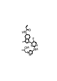 C=CC(=O)Nc1ccc2c(c1)c(C)cn2-c1nc(Nc2cnn(CC(C)O)c2)ncc1F